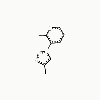 Cc1cn(-c2cccnc2F)nn1